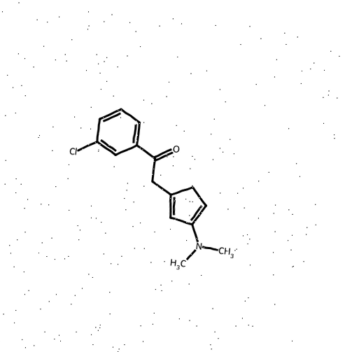 CN(C)C1=CCC(CC(=O)c2cccc(Cl)c2)=C1